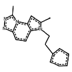 Cc1cc2c(ccc3nnc(C)n32)n1CCc1ccccc1